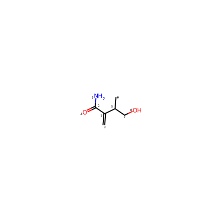 C=C(C(N)=O)C(C)CO